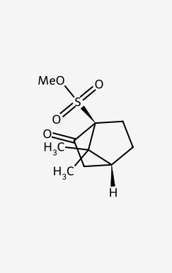 COS(=O)(=O)[C@]12CC[C@H](CC1=O)C2(C)C